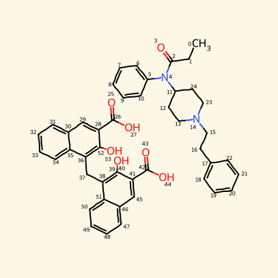 CCC(=O)N(c1ccccc1)C1CCN(CCc2ccccc2)CC1.O=C(O)c1cc2ccccc2c(Cc2c(O)c(C(=O)O)cc3ccccc23)c1O